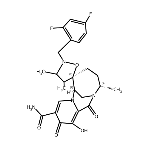 CC1C(C)[C@@]2(CC[C@H](C)N3C[C@H]2n2cc(C(N)=O)c(=O)c(O)c2C3=O)ON1Cc1ccc(F)cc1F